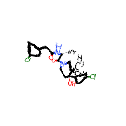 CC(C)[C@@H](NC(=O)Cc1cccc(Cl)c1)C(=O)N1CC[C@](O)(c2ccc(Cl)cc2)C(C)(C)C1